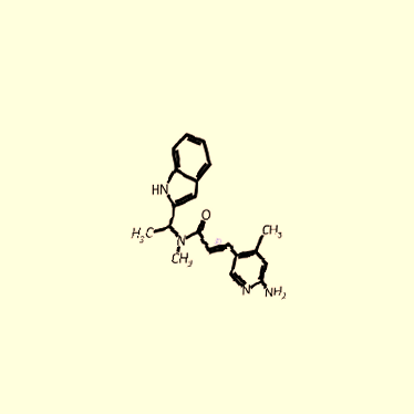 Cc1cc(N)ncc1/C=C/C(=O)N(C)C(C)c1cc2ccccc2[nH]1